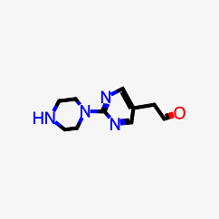 O=CCc1cnc(N2CCNCC2)nc1